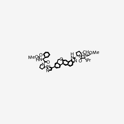 COCN[C@H](C(=O)N1[C@@H](C)CC[C@H]1c1nc2ccc3cc4c(cc3c2[nH]1)OCc1cc(-c2cnc([C@@H]3CCCN3C(=O)[C@H](NC(=O)OC)c3ccccc3)[nH]2)ccc1-4)C(C)C